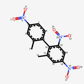 Cc1cc([N+](=O)[O-])ccc1-c1c(C)cc([N+](=O)[O-])cc1[N+](=O)[O-]